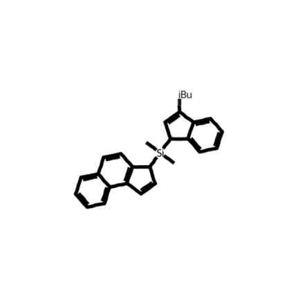 CCC(C)C1=CC([Si](C)(C)C2C=Cc3c2ccc2ccccc32)c2ccccc21